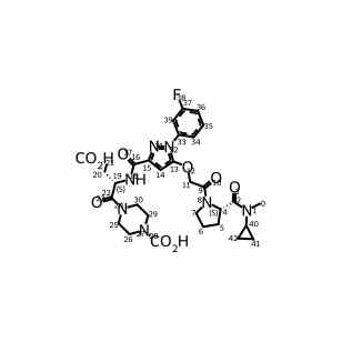 CN(C(=O)[C@@H]1CCCN1C(=O)COc1cc(C(=O)N[C@@H](CC(=O)O)C(=O)N2CCN(C(=O)O)CC2)nn1-c1cccc(F)c1)C1CC1